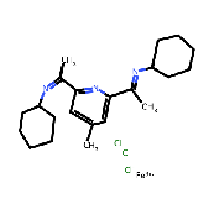 CC(=NC1CCCCC1)c1cc(C)cc(C(C)=NC2CCCCC2)n1.[Cl-].[Cl-].[Cl-].[Fe+3]